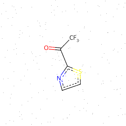 O=C(c1nccs1)C(F)(F)F